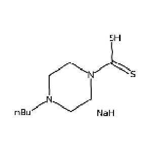 CCCCN1CCN(C(=S)S)CC1.[NaH]